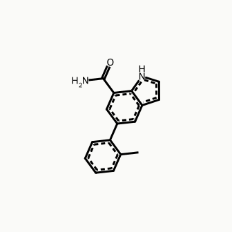 Cc1ccccc1-c1cc(C(N)=O)c2[nH]ccc2c1